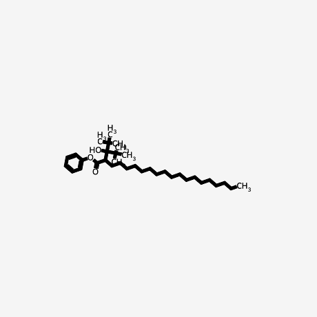 CCCCCCCCCCCCCCCCCCC(C(=O)Oc1ccccc1)C(O)(C(C)(C)C)C(C)(C)C